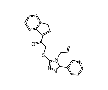 C=CCn1c(SCC(=O)C2=CCc3ccccc32)nnc1-c1cccnc1